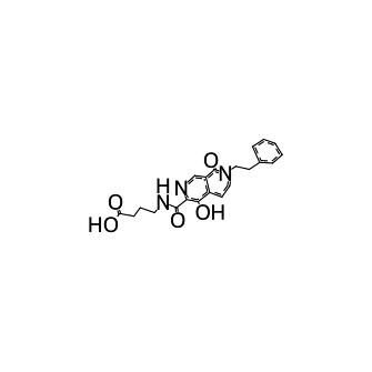 O=C(O)CCCNC(=O)c1ncc2c(=O)n(CCc3ccccc3)ccc2c1O